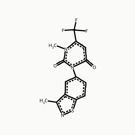 Cc1nsc2ccc(-n3c(=O)cc(C(F)(F)F)n(C)c3=O)cc12